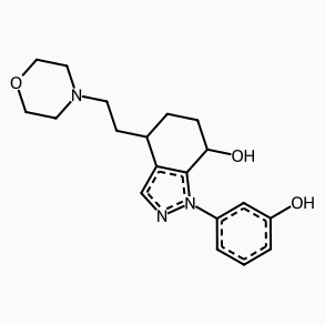 Oc1cccc(-n2ncc3c2C(O)CCC3CCN2CCOCC2)c1